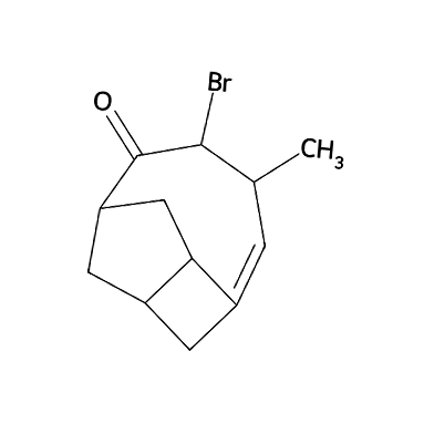 CC1/C=C2/CC3CC(CC23)C(=O)C1Br